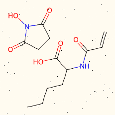 C=CC(=O)NC(CCCC)C(=O)O.O=C1CCC(=O)N1O